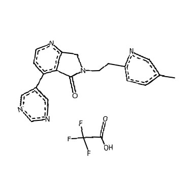 Cc1ccc(CCN2Cc3nccc(-c4cncnc4)c3C2=O)nc1.O=C(O)C(F)(F)F